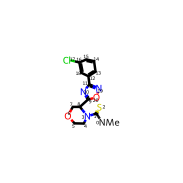 CNC(=S)N1CCOCC1c1nc(-c2cccc(Cl)c2)no1